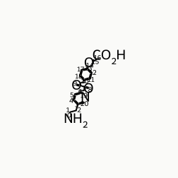 NCCc1ccc(S(=O)(=O)c2ccc(OCC(=O)O)cc2)nc1